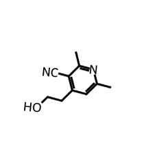 Cc1cc(CCO)c(C#N)c(C)n1